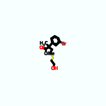 COC(=O)C(C)(CCSCCO)c1cccc(Br)c1